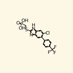 O=P(O)(O)CSc1nc2cc(-c3ccc(C(F)(F)F)cc3)c(Cl)cc2[nH]1